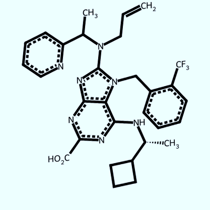 C=CCN(c1nc2nc(C(=O)O)nc(N[C@H](C)C3CCC3)c2n1Cc1ccccc1C(F)(F)F)C(C)c1ccccn1